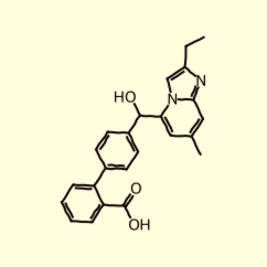 CCc1cn2c(C(O)c3ccc(-c4ccccc4C(=O)O)cc3)cc(C)cc2n1